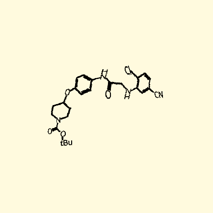 CC(C)(C)OC(=O)N1CCC(Oc2ccc(NC(=O)CNc3cc(C#N)ccc3Cl)cc2)CC1